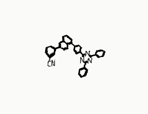 N#Cc1cccc(-c2ccc3c(-c4ccc(-c5nc(-c6ccccc6)nc(-c6ccccc6)n5)cc4)cccc3c2)c1